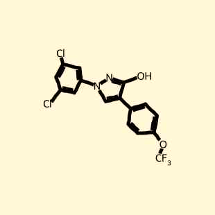 Oc1nn(-c2cc(Cl)cc(Cl)c2)cc1-c1ccc(OC(F)(F)F)cc1